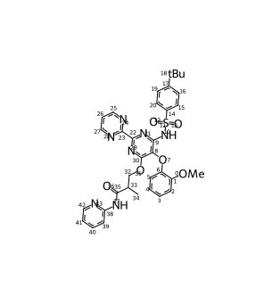 COc1ccccc1Oc1c(NS(=O)(=O)c2ccc(C(C)(C)C)cc2)nc(-c2ncccn2)nc1OCC(C)C(=O)Nc1ccccn1